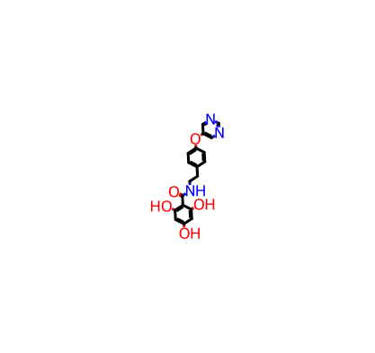 O=C(NCCc1ccc(Oc2cncnc2)cc1)c1c(O)cc(O)cc1O